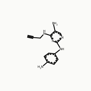 Bc1cnc(Nc2ccc(N)cc2)nc1NCC#C